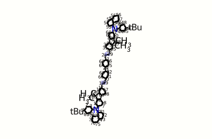 CC(C)(C)c1ccc(N(c2ccc3c(c2)C(C)(C)c2cc(/C=C/c4ccc(-c5ccc(/C=C/c6ccc7c(c6)C(C)(C)c6cc(N(c8ccc(C(C)(C)C)cc8)c8cccc9ccccc89)ccc6-7)cc5)cc4)ccc2-3)c2cccc3ccccc23)cc1